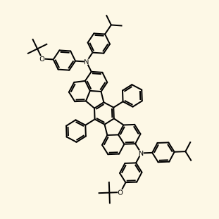 CC(C)c1ccc(N(c2ccc(OC(C)(C)C)cc2)c2ccc3c4c(-c5ccccc5)c5c6ccc(N(c7ccc(OC(C)(C)C)cc7)c7ccc(C(C)C)cc7)c7cccc(c5c(-c5ccccc5)c4c4cccc2c43)c76)cc1